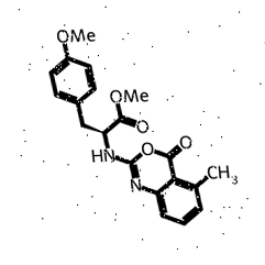 COC(=O)[C@H](Cc1ccc(OC)cc1)Nc1nc2cccc(C)c2c(=O)o1